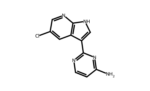 Nc1ccnc(-c2c[nH]c3ncc(Cl)cc23)n1